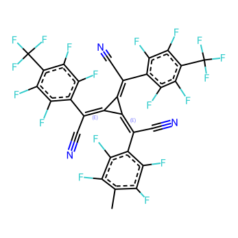 Cc1c(F)c(F)c(/C(C#N)=C2/C(=C(C#N)c3c(F)c(F)c(C(F)(F)F)c(F)c3F)/C2=C(/C#N)c2c(F)c(F)c(C(F)(F)F)c(F)c2F)c(F)c1F